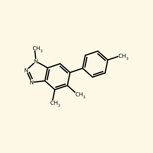 Cc1ccc(-c2cc3c(nnn3C)c(C)c2C)cc1